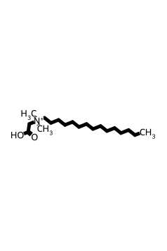 CCCCCCCCCCCCCCC[N+](C)(C)CC(=O)O